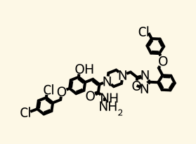 NNC(=O)C(=Cc1ccc(OCc2ccc(Cl)cc2Cl)cc1O)N1CCN(Cc2nc(-c3ccccc3COc3ccc(Cl)cc3)no2)CC1